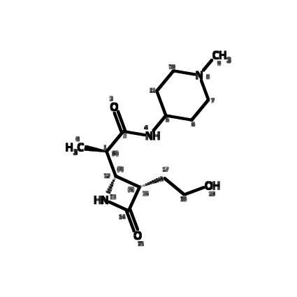 C[C@@H](C(=O)NC1CCN(C)CC1)[C@H]1NC(=O)[C@H]1CCO